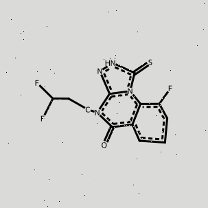 O=c1c2cccc(F)c2n2c(=S)[nH]nc2n1CCC(F)F